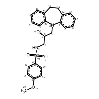 N=[S@@](=O)(NC[C@@H](O)CN1c2ccccc2CCc2ccccc21)c1ccc(OC(F)(F)F)cc1